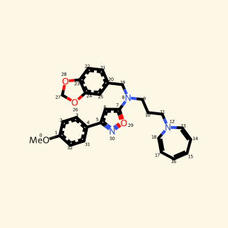 COc1ccc(-c2cc(N(CCCN3C=CC=CC=C3)Cc3ccc4c(c3)OCO4)on2)cc1